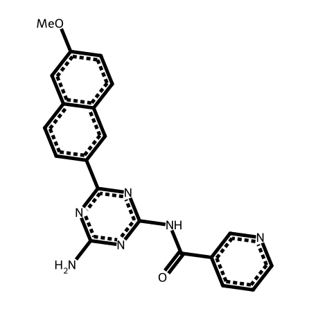 COc1ccc2cc(-c3nc(N)nc(NC(=O)c4cccnc4)n3)ccc2c1